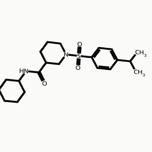 CC(C)c1ccc(S(=O)(=O)N2CCCC(C(=O)NC3CCCCC3)C2)cc1